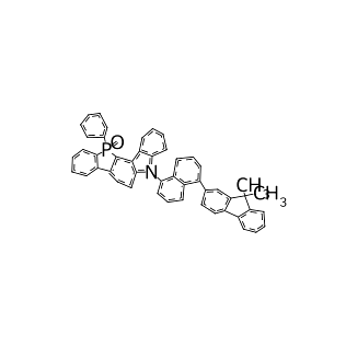 CC1(C)c2ccccc2-c2ccc(-c3cccc4c(-n5c6ccccc6c6c7c(ccc65)-c5ccccc5P7(=O)c5ccccc5)cccc34)cc21